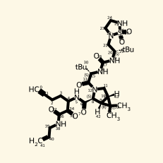 C#CCCC(NC(=O)[C@@H]1[C@@H]2[C@H](CN1C(=O)[C@@H](NC(=O)N[C@H](CN1CCNS1(=O)=O)C(C)(C)C)C(C)(C)C)C2(C)C)C(=O)C(=O)NCC=C